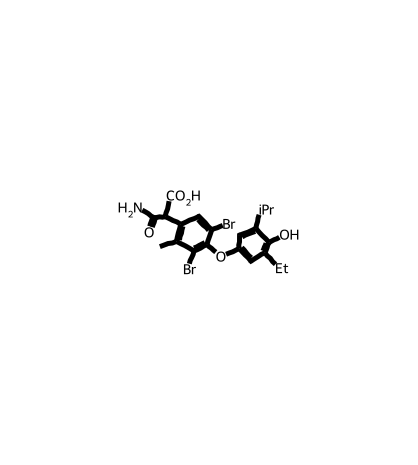 CCc1cc(Oc2c(Br)cc(C(C(N)=O)C(=O)O)c(C)c2Br)cc(C(C)C)c1O